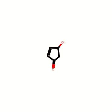 [O]C1C=CC(=O)C1